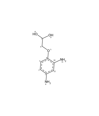 Nc1ccc(OCC(O)O)c(N)c1